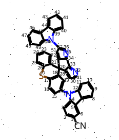 N#Cc1ccc2c(c1)c1ccccc1n2-c1ccc2c(c1)C1(c3ccccc3S2)c2cccnc2-c2ncc(-n3c4ccccc4c4ccccc43)cc21